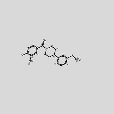 [CH]c1ccc(C(=O)N2CCC(c3cccc(CN)c3)CC2)cc1O